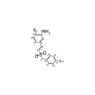 Nc1cc(/C=C/S(=O)(=O)Cc2ccc(I)cc2)ccc1F